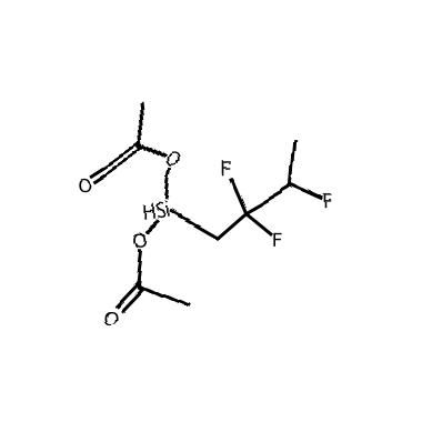 CC(=O)O[SiH](CC(F)(F)C(C)F)OC(C)=O